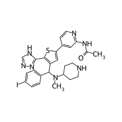 CC(=O)Nc1cc(-c2cc(C(c3ccc(I)cc3)N(C)C3CCNCC3)c(-c3nnc[nH]3)s2)ccn1